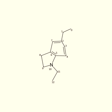 CCc1ccc2c(c1)CCN2CC